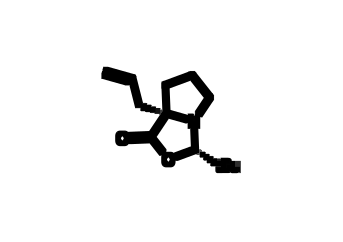 C=CC[C@]12CCCN1[C@H](C(C)(C)C)OC2=O